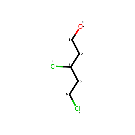 [O]CCC(Cl)CCCl